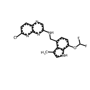 Cc1c[nH]c2c(OC(F)F)ccc(CNc3cnc4ccc(Cl)nc4n3)c12